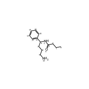 CCCC(=O)NC(CCCN)c1ccccc1